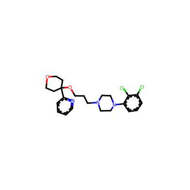 Clc1cccc(N2CCN(CCCOC3(c4ccccn4)CCOCC3)CC2)c1Cl